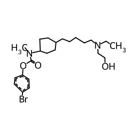 CCN(CCO)CCCCCC1CCC(N(C)C(=O)Oc2ccc(Br)cc2)CC1